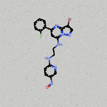 O=Nc1ccc(NCCNc2cc(-c3ccccc3F)nc3c(Br)cnn23)nc1